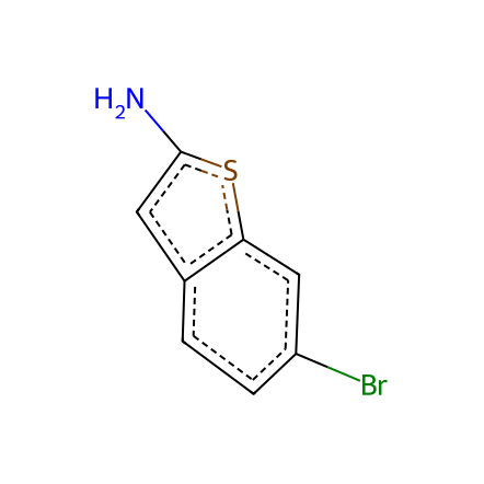 Nc1cc2ccc(Br)cc2s1